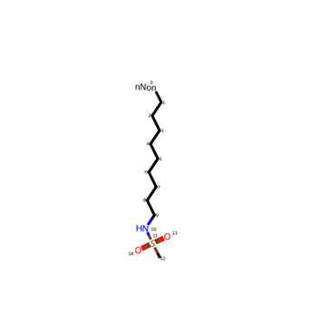 CCCCCCCCCCCCCCCCCCNS(C)(=O)=O